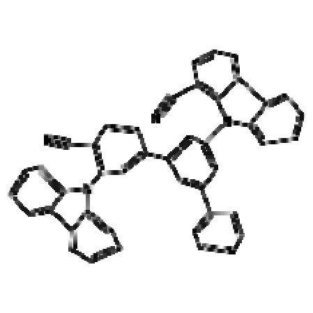 N#Cc1ccc(-c2cc(-c3ccccc3)cc(-n3c4ccccc4c4cccc(C#N)c43)c2)cc1-n1c2ccccc2c2ccccc21